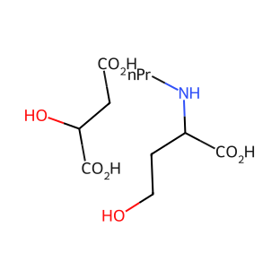 CCCNC(CCO)C(=O)O.O=C(O)CC(O)C(=O)O